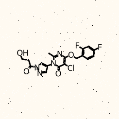 Cc1nc(OCc2ccc(F)cc2F)c(Cl)c(=O)n1-c1cnn(C(=O)CCO)c1